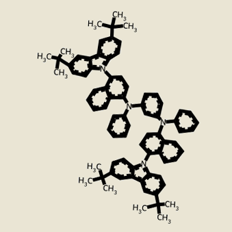 CC(C)(C)c1ccc2c(c1)c1cc(C(C)(C)C)ccc1n2-c1ccc(N(c2ccccc2)c2cccc(N(c3ccccc3)c3ccc(-n4c5ccc(C(C)(C)C)cc5c5cc(C(C)(C)C)ccc54)c4ccccc34)c2)c2ccccc12